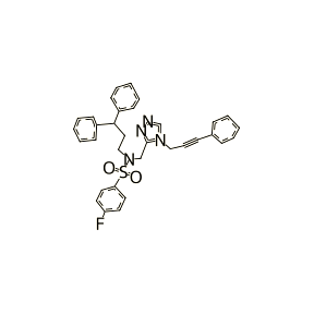 O=S(=O)(c1ccc(F)cc1)N(CCC(c1ccccc1)c1ccccc1)Cc1nncn1CC#Cc1ccccc1